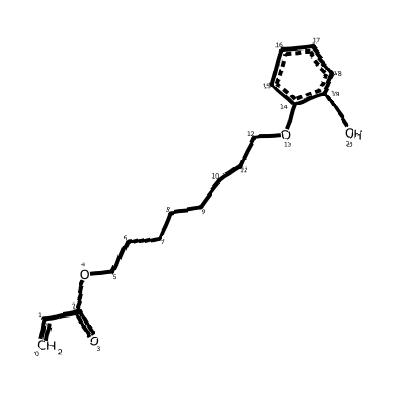 C=CC(=O)OCCCCCCCCOc1ccccc1O